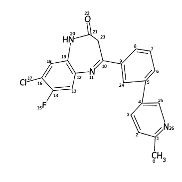 Cc1ccc(-c2cccc(C3=Nc4cc(F)c(Cl)cc4NC(=O)C3)c2)cn1